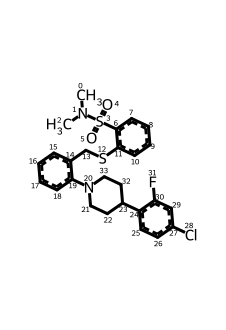 CN(C)S(=O)(=O)c1ccccc1SCc1ccccc1N1CCC(c2ccc(Cl)cc2F)CC1